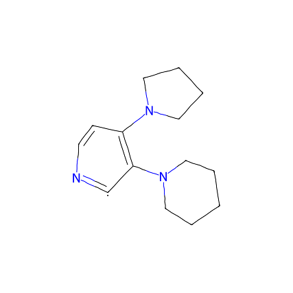 [c]1nccc(N2CCCC2)c1N1CCCCC1